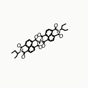 CCC(CC)N1C(=O)c2ccc3c4c(ccc(c24)C1=O)C(=O)N(N1C(=O)c2ccc4c5c(ccc(c25)C1=O)C(=O)N(C(CC)CC)C4=O)C3=O